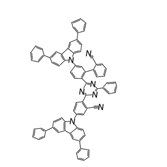 N#Cc1cc(-n2c3ccc(-c4ccccc4)cc3c3cc(-c4ccccc4)ccc32)ccc1-c1nc(-c2ccccc2)nc(-c2ccc(-n3c4ccc(-c5ccccc5)cc4c4cc(-c5ccccc5)ccc43)cc2-c2ccccc2C#N)n1